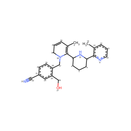 CC1=C(C2CCCC(c3ncccc3C)N2)N(Cc2ccc(C#N)cc2CO)CC=C1